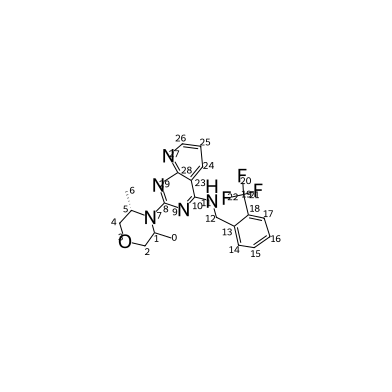 CC1COC[C@H](C)N1c1nc(NCc2ccccc2C(F)(F)F)c2cccnc2n1